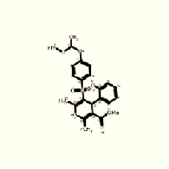 CCCOC(C)Oc1ccc(S(=O)(=O)C2=C(C)NC(C)=C(C(=O)OC)C2c2ccccc2Cl)cc1